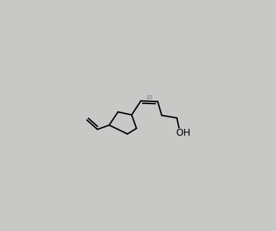 C=CC1CCC(/C=C\CCO)C1